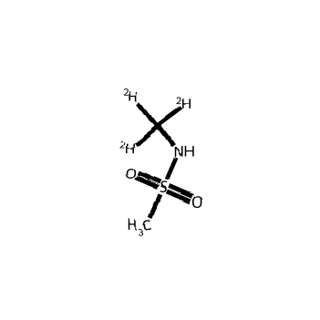 [2H]C([2H])([2H])NS(C)(=O)=O